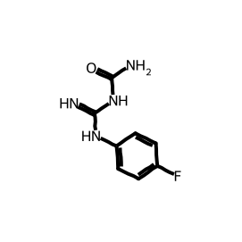 N=C(NC(N)=O)Nc1ccc(F)cc1